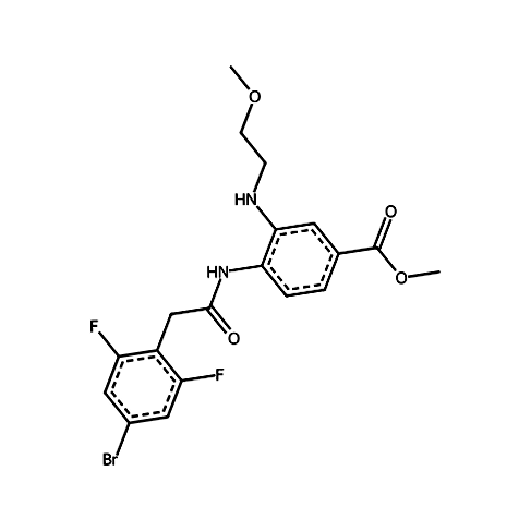 COCCNc1cc(C(=O)OC)ccc1NC(=O)Cc1c(F)cc(Br)cc1F